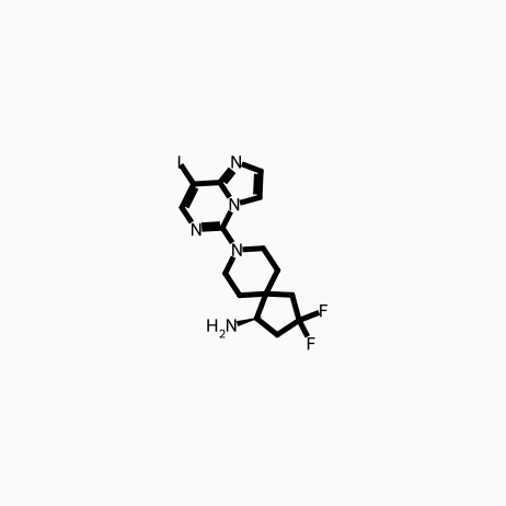 N[C@@H]1CC(F)(F)CC12CCN(c1ncc(I)c3nccn13)CC2